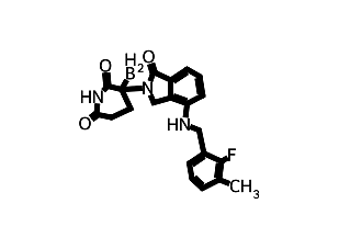 BC1(N2Cc3c(NCc4cccc(C)c4F)cccc3C2=O)CCC(=O)NC1=O